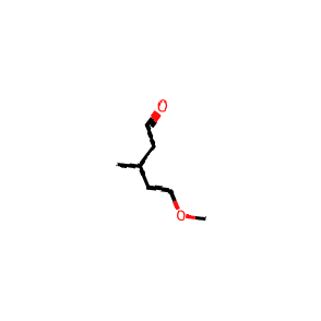 COCCC(C)CC=O